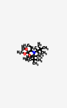 CCC(N([Si](C)(C)C(C)(C)C)[Si](C)(C)C(C)(C)C)[Si](OC)(OC)OC